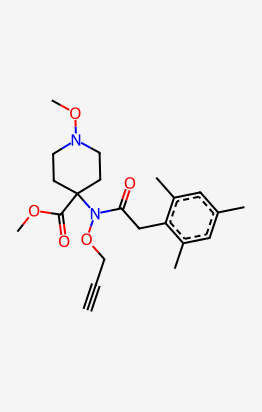 C#CCON(C(=O)Cc1c(C)cc(C)cc1C)C1(C(=O)OC)CCN(OC)CC1